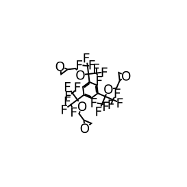 FC(F)(F)C(OCC1CO1)(c1cc(C(OCC2CO2)(C(F)(F)F)C(F)(F)F)cc(C(OCC2CO2)(C(F)(F)F)C(F)(F)F)c1)C(F)(F)F